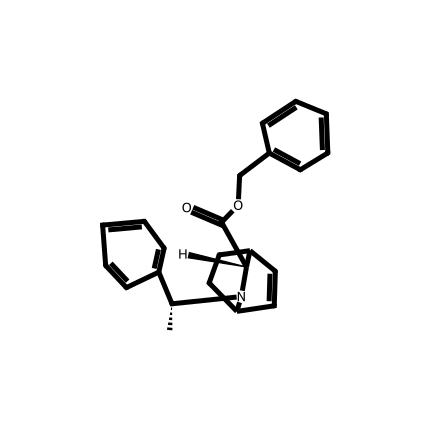 C[C@H](c1ccccc1)N1C2C=CC(CC2)[C@H]1C(=O)OCc1ccccc1